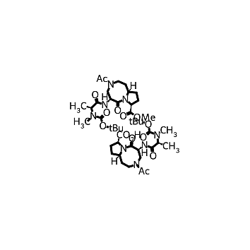 CC(=O)N1CC[C@H]2CC[C@@H](C(=O)O)N2C(=O)[C@@H](NC(=O)[C@H](C)N(C)C(=O)OC(C)(C)C)C1.COC(=O)[C@@H]1CC[C@@H]2CCN(C(C)=O)C[C@H](NC(=O)[C@H](C)N(C)C(=O)OC(C)(C)C)C(=O)N21